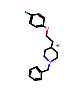 Cl.Fc1ccc(OCCC2CCN(Cc3ccccc3)CC2)cc1